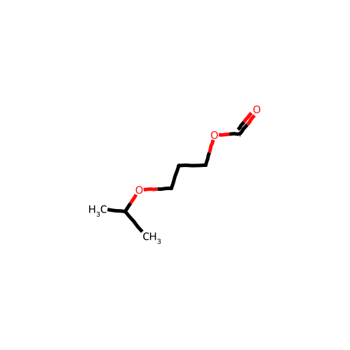 CC(C)OCCCO[C]=O